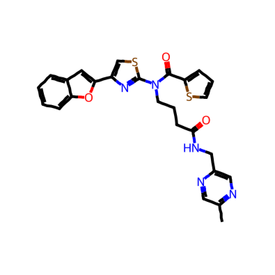 Cc1cnc(CNC(=O)CCCN(C(=O)c2cccs2)c2nc(-c3cc4ccccc4o3)cs2)cn1